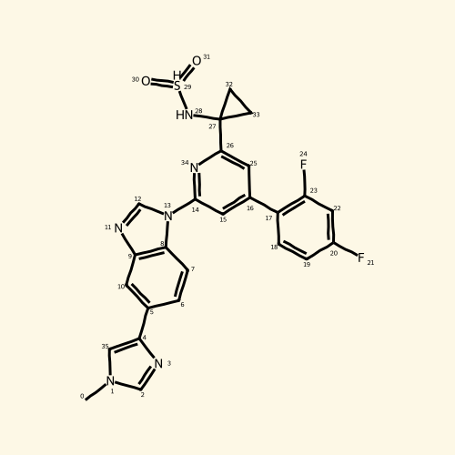 Cn1cnc(-c2ccc3c(c2)ncn3-c2cc(-c3ccc(F)cc3F)cc(C3(N[SH](=O)=O)CC3)n2)c1